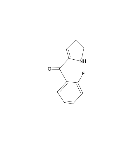 O=C(C1=CCCN1)c1ccccc1F